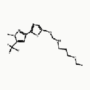 CCOCCCNCOc1ccc(-c2cc(C(F)(F)F)n(C)n2)s1